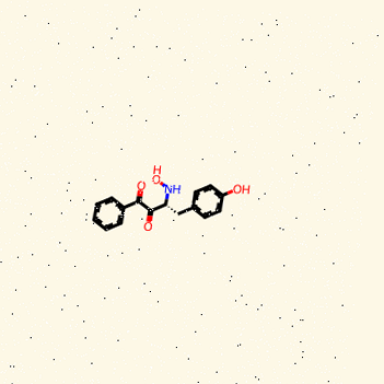 O=C(C(=O)[C@@H](Cc1ccc(O)cc1)NO)c1ccccc1